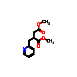 COC(=O)CC(Cc1ccccn1)C(=O)OC